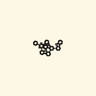 c1ccc(-c2nc(-c3ccccc3)nc(-c3cccc4c3oc3c(-c5cc(-c6cccc7c6oc6ccccc67)cc6sc7ccccc7c56)cccc34)n2)cc1